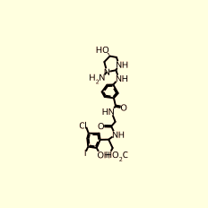 NN1C[C@H](O)CNC1Nc1cccc(C(=O)NCC(=O)NC(CC(=O)O)c2cc(Cl)cc(I)c2O)c1